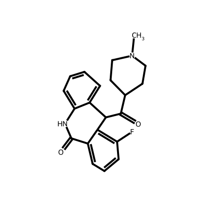 CN1CCC(C(=O)C2c3ccccc3NC(=O)c3cccc(F)c32)CC1